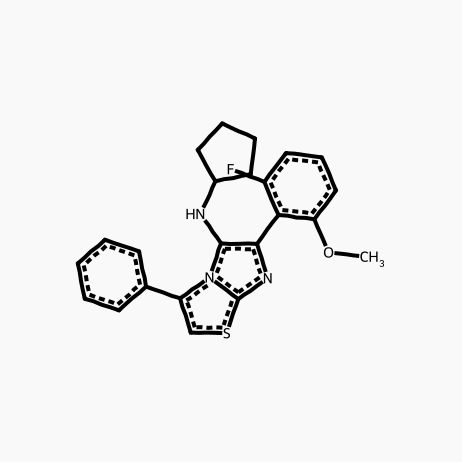 COc1cccc(F)c1-c1nc2scc(-c3ccccc3)n2c1NC1CCCC1